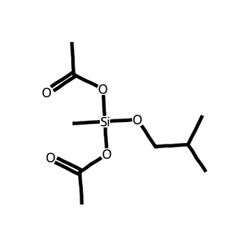 CC(=O)O[Si](C)(OCC(C)C)OC(C)=O